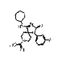 O=C(O)N1CCC2(CC1)C(NC1CCCCC1)=NC(=O)N2c1cccc(F)c1